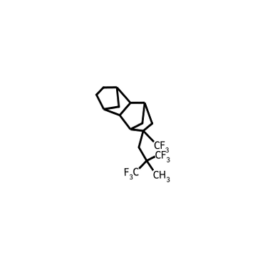 CC(CC1(C(F)(F)F)CC2CC1C1C3CCC(C3)C21)(C(F)(F)F)C(F)(F)F